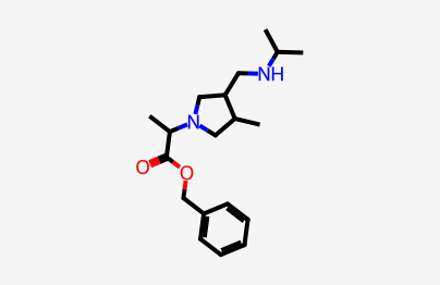 CC(C)NCC1CN(C(C)C(=O)OCc2ccccc2)CC1C